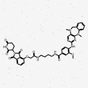 COc1cc(C(=O)NCCCCNC(=O)COc2cccc3c2C(=O)N(C2CCC(=O)NC2=O)C3=O)ccc1Nc1ncc2c(n1)N(C)c1ccccc1CN2C